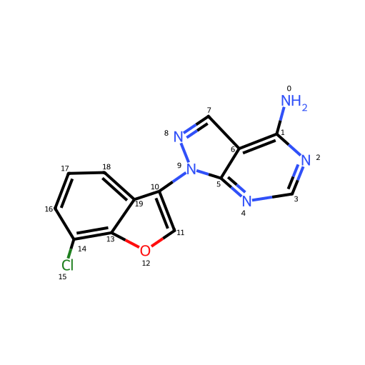 Nc1ncnc2c1cnn2-c1coc2c(Cl)cccc12